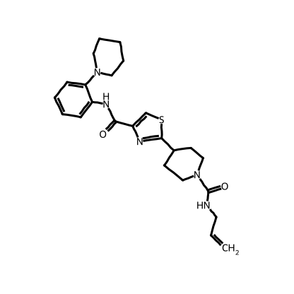 C=CCNC(=O)N1CCC(c2nc(C(=O)Nc3ccccc3N3CCCCC3)cs2)CC1